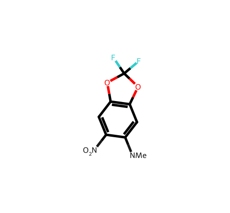 CNc1cc2c(cc1[N+](=O)[O-])OC(F)(F)O2